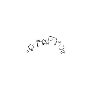 COc1ccc(CC(=O)Nc2cc([C@@H]3CC[C@H](OC(=O)N[C@H]4CC[C@@](C)(O)CC4)C3)[nH]n2)cn1